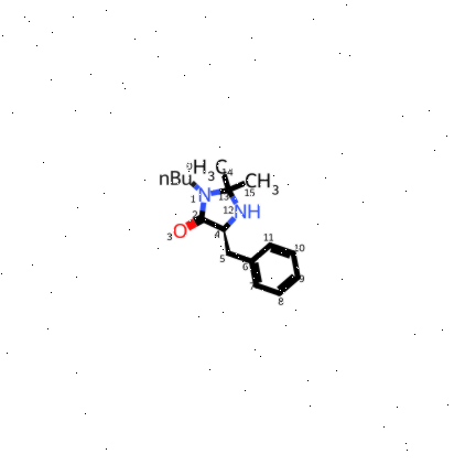 CCCCN1C(=O)[C@H](Cc2ccccc2)NC1(C)C